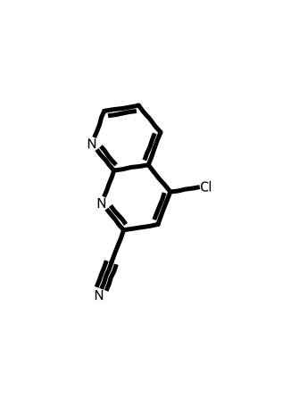 N#Cc1cc(Cl)c2cccnc2n1